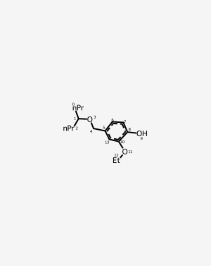 CCCC(CCC)OCc1ccc(O)c(OCC)c1